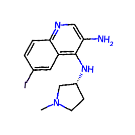 CN1CC[C@@H](Nc2c(N)cnc3ccc(I)cc23)C1